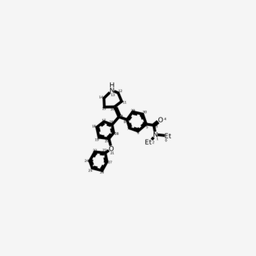 CCN(CC)C(=O)c1ccc(C(=C2CCNCC2)c2cccc(Oc3ccccc3)c2)cc1